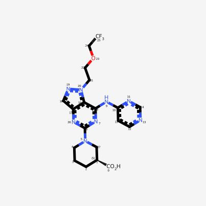 O=C(O)[C@H]1CCCN(c2nc(Nc3ccncn3)c3c(cnn3CCOCC(F)(F)F)n2)C1